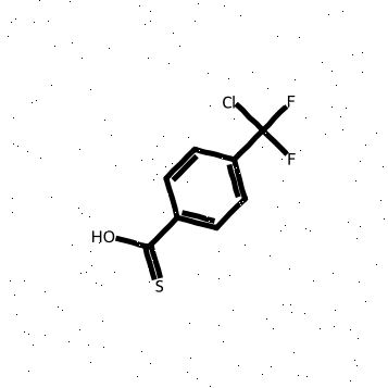 OC(=S)c1ccc(C(F)(F)Cl)cc1